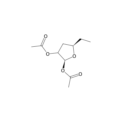 CC[C@@H]1CC(OC(C)=O)[C@H](OC(C)=O)O1